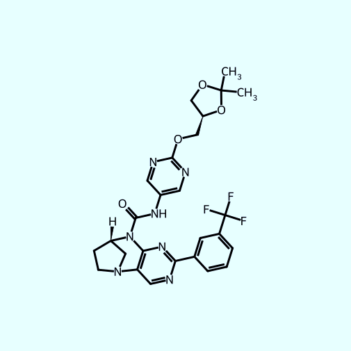 CC1(C)OC[C@H](COc2ncc(NC(=O)N3c4nc(-c5cccc(C(F)(F)F)c5)ncc4N4CC[C@H]3C4)cn2)O1